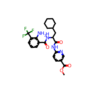 COC(=O)c1ccc(NC(=O)C(CC2CCCCC2)NC(=O)c2cccc(C(F)(F)F)c2N)nc1